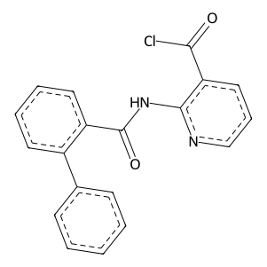 O=C(Nc1ncccc1C(=O)Cl)c1ccccc1-c1ccccc1